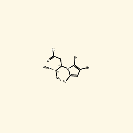 CCC(=O)C[C@H]([C@H](N)OC)n1c(C(C)=O)cc(Br)c1Br